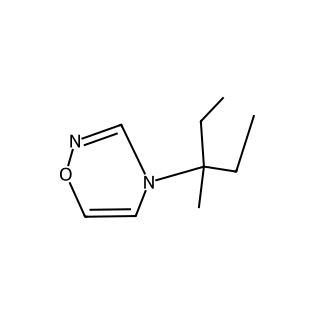 CCC(C)(CC)N1C=CON=C1